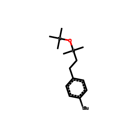 CC(C)(C)c1ccc(CC[Si](C)(C)O[Si](C)(C)C)cc1